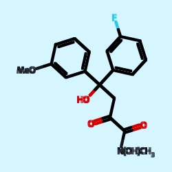 COc1cccc(C(O)(CC(=O)C(=O)N(C)O)c2cccc(F)c2)c1